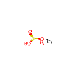 O=S(O)O.[Dy]